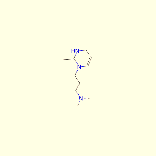 CC1NCC=CN1CCCN(C)C